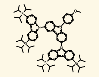 COc1ccc(-n2c3ccc(-n4c5ccc([Si](C(C)C)(C(C)C)C(C)C)cc5c5cc([Si](C(C)C)(C(C)C)C(C)C)ccc54)cc3c3cc(-n4c5ccc([Si](C(C)C)(C(C)C)C(C)C)cc5c5cc([Si](C(C)C)(C(C)C)C(C)C)ccc54)ccc32)cc1